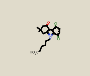 CC1(C)CC(=O)c2c(n(CCCCCC(=O)O)c3c(Cl)ccc(Cl)c23)C1